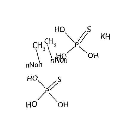 CCCCCCCCCC.CCCCCCCCCC.OP(O)(O)=S.OP(O)(O)=S.[KH]